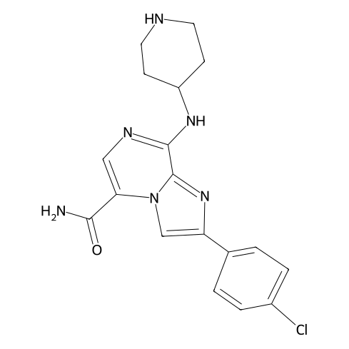 NC(=O)c1cnc(NC2CCNCC2)c2nc(-c3ccc(Cl)cc3)cn12